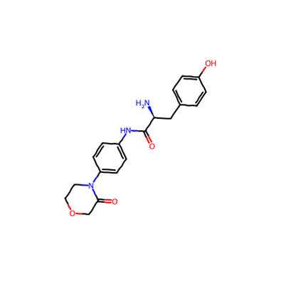 N[C@@H](Cc1ccc(O)cc1)C(=O)Nc1ccc(N2CCOCC2=O)cc1